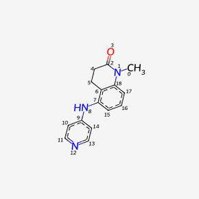 CN1C(=O)CCc2c(Nc3ccncc3)cccc21